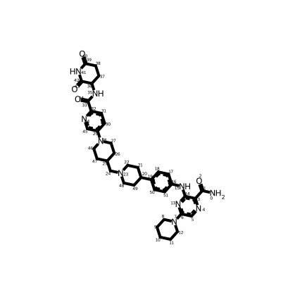 NC(=O)c1ncc(N2CCCCC2)nc1Nc1ccc(C2CCN(CC3CCN(c4ccc(C(=O)NC5CCC(=O)NC5=O)nc4)CC3)CC2)cc1